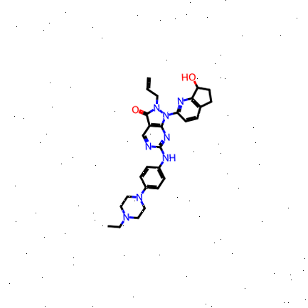 C=CCn1c(=O)c2cnc(Nc3ccc(N4CCN(CC)CC4)cc3)nc2n1-c1ccc2c(n1)C(O)CC2